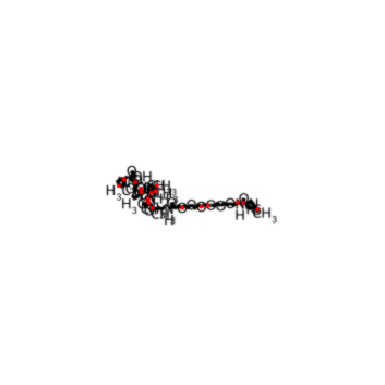 CC[C@H](C)[C@@H]([C@H](CC(=O)N1CCC[C@H]1[C@H](OC)[C@@H](C)C(=O)N[C@@H](Cc1ccccc1)C(=O)O)OC)N(C)C(=O)[C@@H](NC(=O)[C@H](C)CCCNC(=O)CCOCCOCCOCCOCCOCCOCCNC(=O)c1cnc(SC)nc1)C(C)C